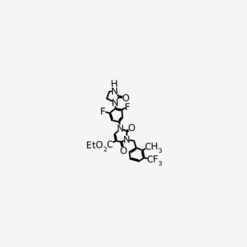 CCOC(=O)c1cn(-c2cc(F)c(N3CCNC3=O)c(F)c2)c(=O)n(Cc2cccc(C(F)(F)F)c2C)c1=O